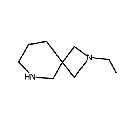 CCN1CC2(CCCNC2)C1